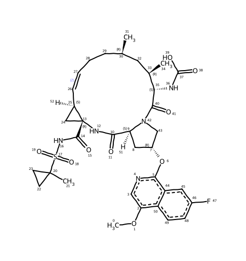 COc1cnc(O[C@@H]2C[C@H]3C(=O)N[C@]4(C(=O)NS(=O)(=O)C5(C)CC5)C[C@H]4/C=C\CC[C@@H](C)C[C@@H](C)[C@H](NC(=O)O)C(=O)N3C2)c2cc(F)ccc12